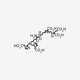 N[C@@H](C(=O)CCCN(Cc1nccn1CC(=O)O)Cc1nccn1CC(=O)O)C(=O)NCCCC[C@H](NCN[C@@H](CCC(=O)O)C(=O)O)C(=O)O